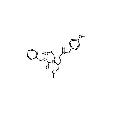 COC[C@@H]1C[C@H](NCc2ccc(OC)cc2)[C@H](CO)N1C(=O)OCc1ccccc1